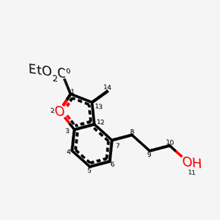 CCOC(=O)c1oc2cccc(CCCO)c2c1C